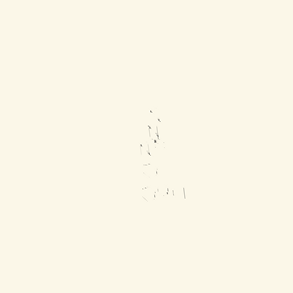 CCOc1ccccc1-c1ccc2c(c1)CCN(CC(=O)N1CCN(C3CCC3)CC1)C2